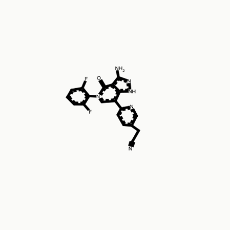 N#CCc1ccc(-c2cn(-c3c(F)cccc3F)c(=O)c3c(N)n[nH]c23)nc1